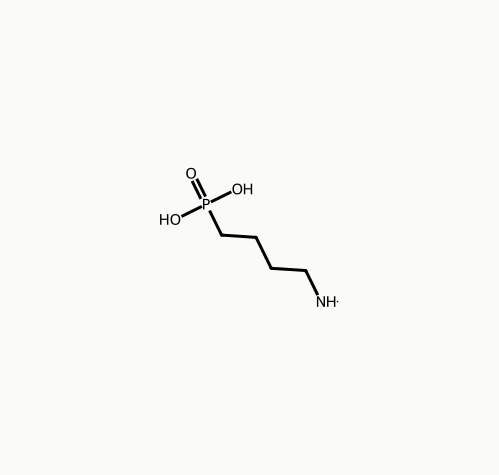 [NH]CCCCP(=O)(O)O